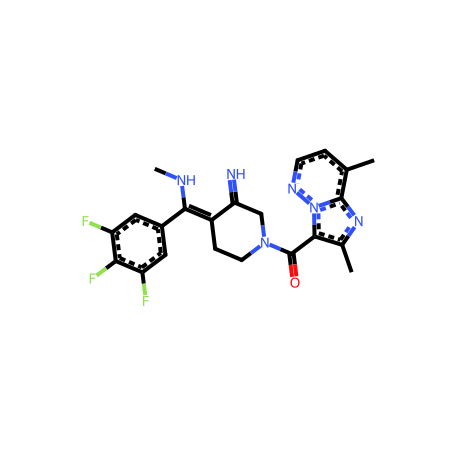 CN/C(=C1/CCN(C(=O)c2c(C)nc3c(C)ccnn23)CC1=N)c1cc(F)c(F)c(F)c1